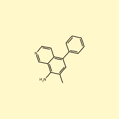 Cc1cc(-c2ccccc2)c2ccncc2c1N